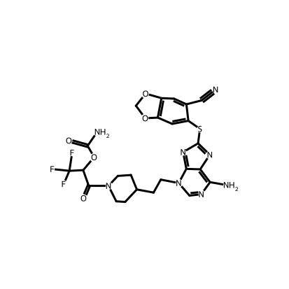 N#Cc1cc2c(cc1Sc1nc3c(N)ncn(CCC4CCN(C(=O)C(OC(N)=O)C(F)(F)F)CC4)c-3n1)OCO2